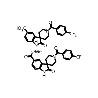 COC(=O)c1ccc2c(c1)C1(CCN(C(=O)c3ccc(C(F)(F)F)cc3)CC1)C(=O)N2.O=C(O)c1ccc2c(c1)C1(CCN(C(=O)c3ccc(C(F)(F)F)cc3)CC1)C(=O)N2